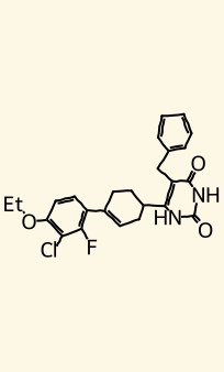 CCOc1ccc(C2=CCC(c3[nH]c(=O)[nH]c(=O)c3Cc3ccccc3)CC2)c(F)c1Cl